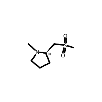 CN1CCC[C@@H]1CS(C)(=O)=O